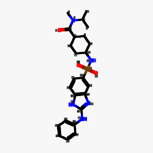 CC(C)N(C)C(=O)C1CCC(NS(=O)(=O)c2ccc3[nH]c(Nc4ccccc4)nc3c2)CC1